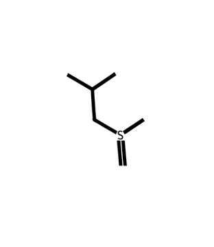 C=S(C)CC(C)C